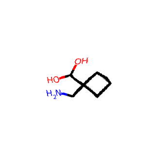 NCC1(C(O)O)CCC1